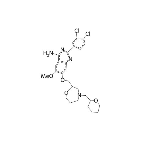 COc1cc2c(N)nc(-c3ccc(Cl)c(Cl)c3)nc2cc1OCC1CN(CC2CCCCO2)CCCO1